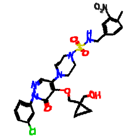 Cc1ccc(CNS(=O)(=O)N2CCN(c3cnn(-c4cccc(Cl)c4)c(=O)c3OCC3(CO)CC3)CC2)cc1[N+](=O)[O-]